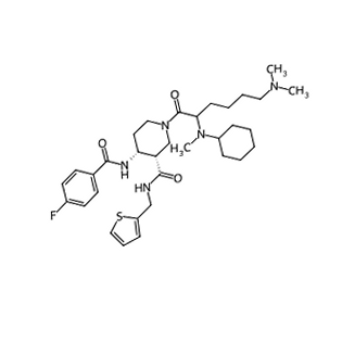 CN(C)CCCCC(C(=O)N1CC[C@@H](NC(=O)c2ccc(F)cc2)[C@@H](C(=O)NCc2cccs2)C1)N(C)C1CCCCC1